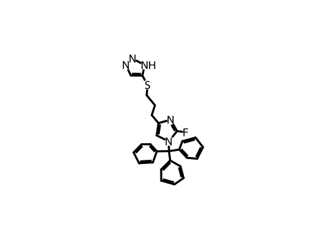 Fc1nc(CCCSc2cnn[nH]2)cn1C(c1ccccc1)(c1ccccc1)c1ccccc1